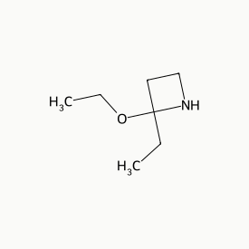 CCOC1(CC)CCN1